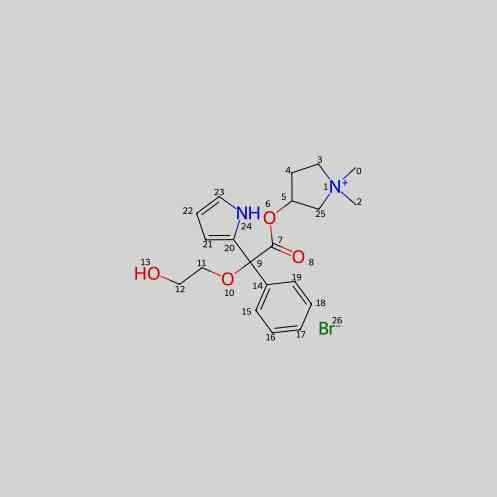 C[N+]1(C)CCC(OC(=O)C(OCCO)(c2ccccc2)c2ccc[nH]2)C1.[Br-]